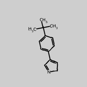 CC(C)(C)c1ccc(C2=CCN=C2)cc1